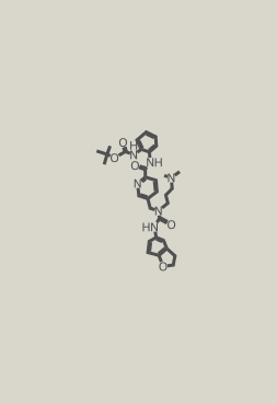 CN(C)CCCN(Cc1ccc(C(=O)Nc2ccccc2NC(=O)OC(C)(C)C)nc1)C(=O)Nc1ccc2c(c1)CCO2